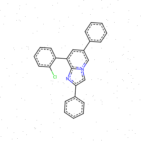 Clc1ccccc1-c1cc(-c2ccccc2)cn2cc(-c3ccccc3)nc12